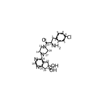 NC(Cc1ccc(Cl)cc1)C(=O)N1CCN(c2ncnc3c2CS(O)(O)C3)CC1